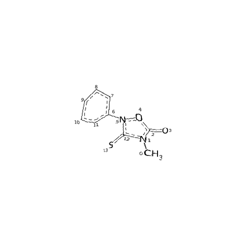 Cn1c(=O)on(-c2ccccc2)c1=S